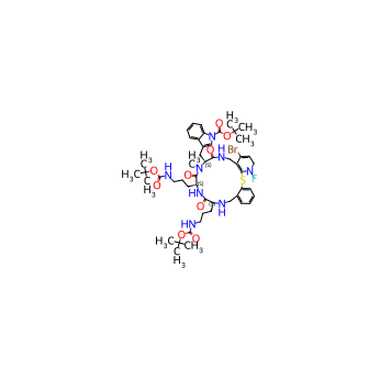 CN1C(=O)[C@H](CCCNC(=O)OC(C)(C)C)NC(=O)[C@H](CCCNC(=O)OC(C)(C)C)NCc2ccccc2SC2=C(CNC(=O)[C@@H]1Cc1cn(C(=O)OC(C)(C)C)c3ccccc13)C(Br)=CCN2F